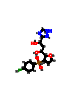 O=C(C=C(O)c1nc[nH]n1)c1occc1S(=O)(=O)c1ccc(F)cc1